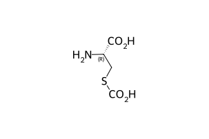 N[C@@H](CSC(=O)O)C(=O)O